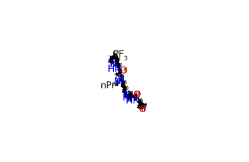 CCC/C=N/N(/C=C(\C)C(=O)NCc1cc(C(F)(F)F)ccn1)CCCCn1cc(C(=O)NCC2COC2)nn1